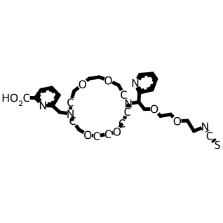 O=C(O)c1cccc(CN2CCOCCOCCN(C(COCCOCCN=C=S)c3ccccn3)CCOCCOCC2)n1